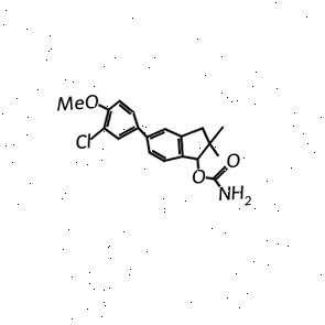 COc1ccc(-c2ccc3c(c2)CC(C)(C)C3OC(N)=O)cc1Cl